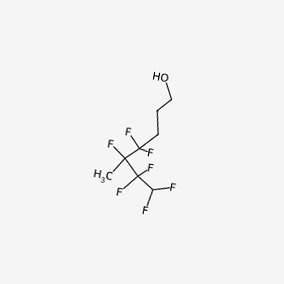 CC(F)(C(F)(F)CCCO)C(F)(F)C(F)F